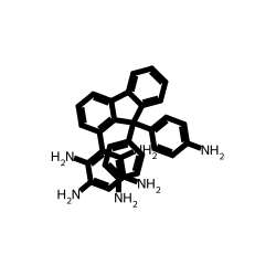 Nc1ccc(C2(c3ccc(N)cc3)c3ccccc3-c3cccc(-c4c(N)c(N)cc(N)c4N)c32)cc1